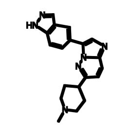 CN1CCC(c2ccc3ncc(-c4ccc5[nH]ncc5c4)n3n2)CC1